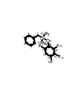 CCCCCCCCC[Si](Cc1ccccc1)(Oc1c(F)[c]c(F)c(F)c1F)C(C)C